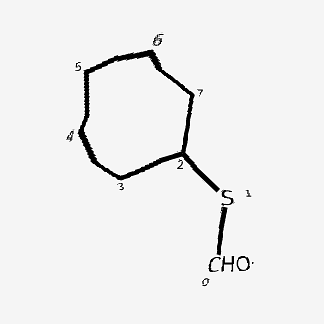 O=[C]SC1CCCCC1